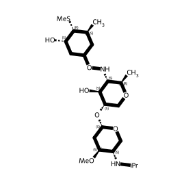 CO[C@H]1C[C@H](O[C@H]2CO[C@H](C)[C@@H](NOC3C[C@H](C)[C@@H](SC)[C@@H](O)C3)[C@@H]2O)OC[C@@H]1NC(C)C